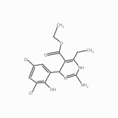 CCOC(=O)C1=C(CC)NC(N)=NC1c1cc(Cl)cc(Cl)c1O